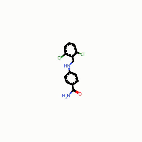 NC(=O)c1ccc(NCc2c(Cl)cccc2Cl)cc1